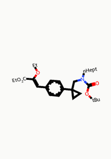 CCCCCCCN(CC1(c2ccc(C=C(OCC)C(=O)OCC)cc2)CC1)C(=O)OC(C)(C)C